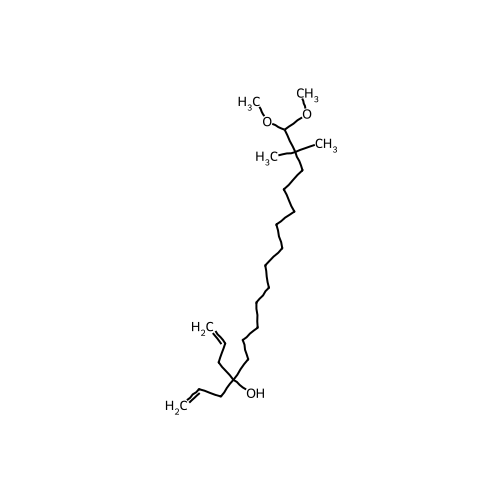 C=CCC(O)(CC=C)CCCCCCCCCCCC(C)(C)C(OC)OC